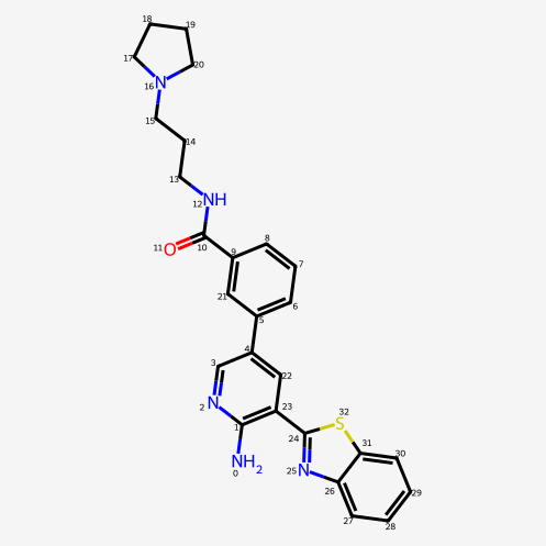 Nc1ncc(-c2cccc(C(=O)NCCCN3CCCC3)c2)cc1-c1nc2ccccc2s1